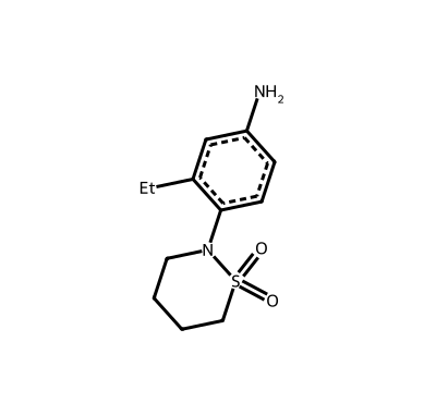 CCc1cc(N)ccc1N1CCCCS1(=O)=O